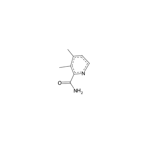 Cc1ccnc(C(N)=O)c1C